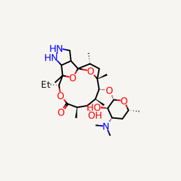 CC[C@H]1OC(=O)[C@H](C)[C@@H](O)[C@H](C)[C@@H](O[C@@H]2O[C@H](C)C[C@H](N(C)C)[C@H]2O)[C@@]2(C)C[C@@H](C)C3(OC1(C)C1NNCC13)O2